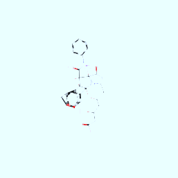 CC(C)C1(O)N2CCC(CC(O)CC(=O)O)OC2(c2ccccc2)C2(C3=CC=CCC3)OC12C(=O)Nc1ccccc1